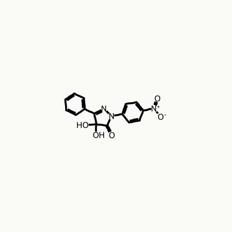 O=C1N(c2ccc([N+](=O)[O-])cc2)N=C(c2ccccc2)C1(O)O